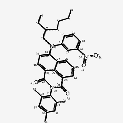 CCCCC(CC)CN(c1cccc([N+](=O)[O-])c1)c1ccc2c3c(cccc13)C(=O)N(c1c(C)cc(C)cc1C)C2=O